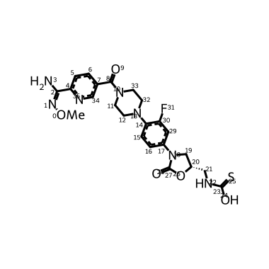 CO/N=C(/N)c1ccc(C(=O)N2CCN(c3ccc(N4C[C@H](CNC(O)=S)OC4=O)cc3F)CC2)cn1